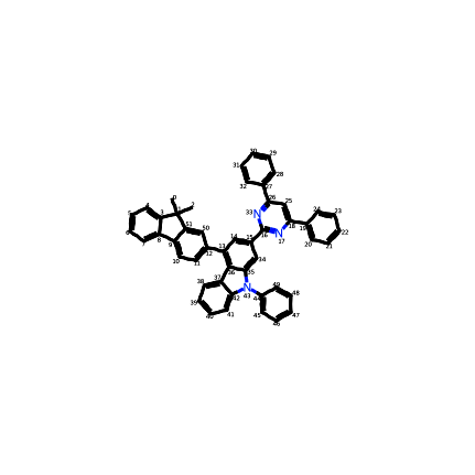 CC1(C)c2ccccc2-c2ccc(-c3cc(-c4nc(-c5ccccc5)cc(-c5ccccc5)n4)cc4c3c3ccccc3n4-c3ccccc3)cc21